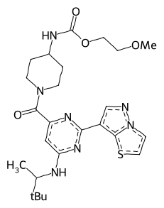 COCCOC(=O)NC1CCN(C(=O)c2cc(NC(C)C(C)(C)C)nc(-c3cnn4ccsc34)n2)CC1